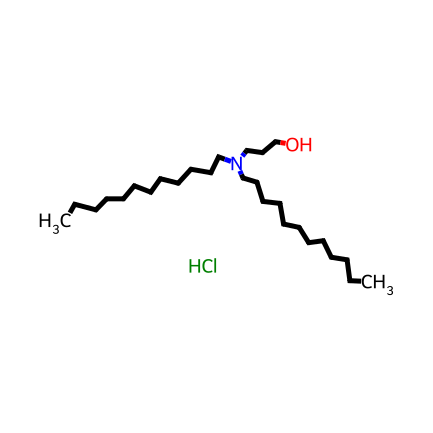 CCCCCCCCCCCCN(CCCO)CCCCCCCCCCCC.Cl